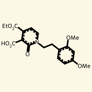 CCOC(=O)c1ccn(CCc2ccc(OC)cc2OC)c(=O)c1C(=O)O